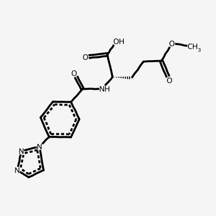 COC(=O)CC[C@H](NC(=O)c1ccc(-n2ccnn2)cc1)C(=O)O